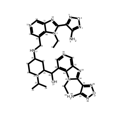 CCn1c(-c2nonc2N)nc2cncc(CNC3CCN(C(C)C)C(C(O)c4cncc5nc(-c6nonc6N)n(CC)c45)C3)c21